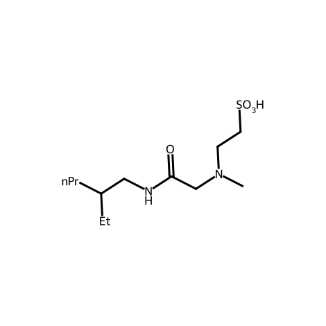 CCCC(CC)CNC(=O)CN(C)CCS(=O)(=O)O